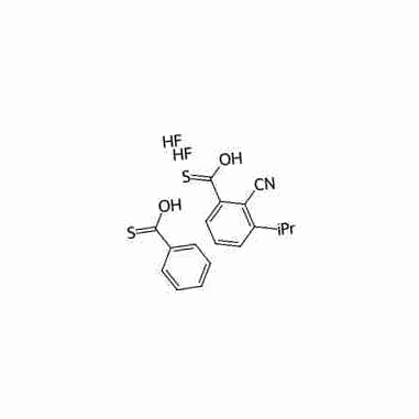 CC(C)c1cccc(C(O)=S)c1C#N.F.F.OC(=S)c1ccccc1